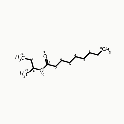 CCCCCCCCC(=O)OC(C)CC